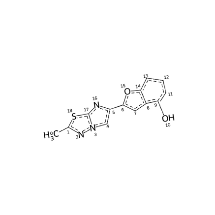 Cc1nn2cc(-c3cc4c(O)cccc4o3)nc2s1